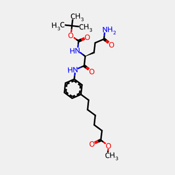 COC(=O)CCCCCc1cccc(NC(=O)[C@H](CCC(N)=O)NC(=O)OC(C)(C)C)c1